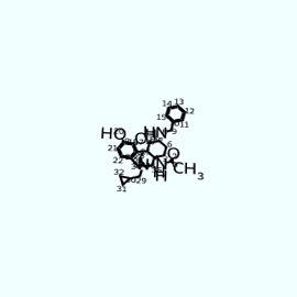 CC(=O)N[C@@]12CC[C@@H](NCc3ccccc3)[C@@H]3Oc4c(O)ccc5c4[C@@]31CCN(CC1CC1)[C@@H]2C5